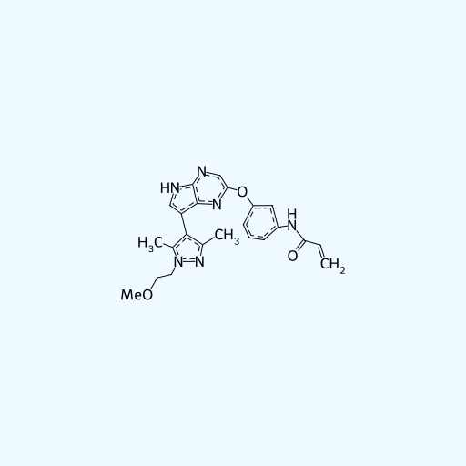 C=CC(=O)Nc1cccc(Oc2cnc3[nH]cc(-c4c(C)nn(CCOC)c4C)c3n2)c1